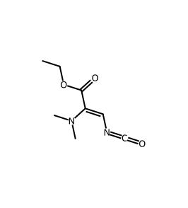 CCOC(=O)C(=CN=C=O)N(C)C